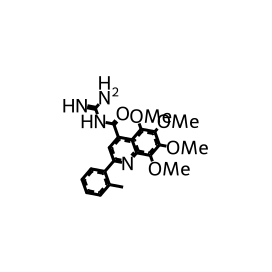 COc1c(OC)c(OC)c2c(C(=O)NC(=N)N)cc(-c3ccccc3C)nc2c1OC